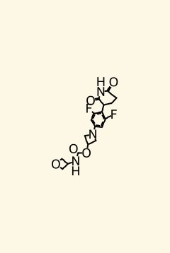 O=C1CCC(c2c(F)cc(N3CC(OC(=O)NC4COC4)C3)cc2F)C(=O)N1